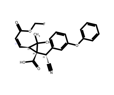 CC1(C)[C@H](/C=C\C(=O)OCF)[C@@]1(C(=O)O)[C@@H](C#N)c1cccc(Oc2ccccc2)c1